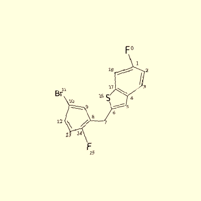 Fc1ccc2cc(Cc3cc(Br)ccc3F)sc2c1